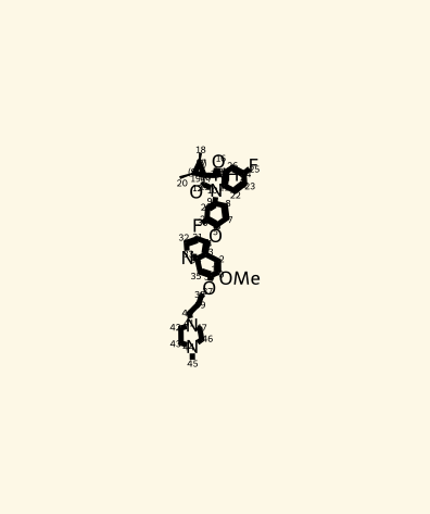 COc1cc2c(Oc3ccc(N(C(=O)[C@@]4(C(N)=O)[C@H](C)[C@@H]4C)c4ccc(F)cc4)cc3F)ccnc2cc1OCCCN1CCN(C)CC1